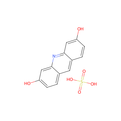 O=S(=O)(O)O.Oc1ccc2cc3ccc(O)cc3nc2c1